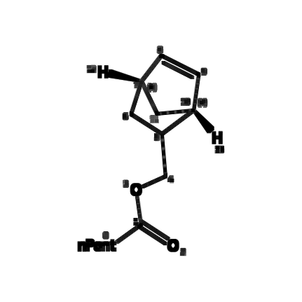 CCCCCC(=O)OCC1C[C@@H]2C=C[C@H]1C2